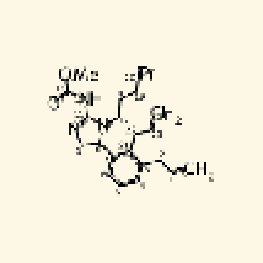 C=CCc1cccc(C2CN=C(NC(=O)OC)N2CCCC(C)C)c1CC=C